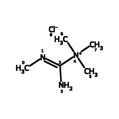 C/N=C(\N)[N+](C)(C)C.[Cl-]